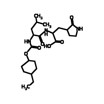 CCC1CCC(OC(=O)NC(CC(C)C)C(=O)NC(CC2CCNC2=O)C(=O)O)CC1